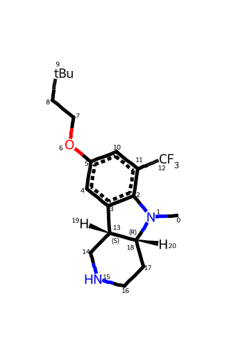 CN1c2c(cc(OCCC(C)(C)C)cc2C(F)(F)F)[C@H]2CNCC[C@H]21